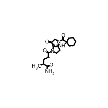 CC(=O)NC1(C(=O)N2CC(=O)C3C2CCN3C(=O)[CH]CC(C)C(N)=O)CCCCC1